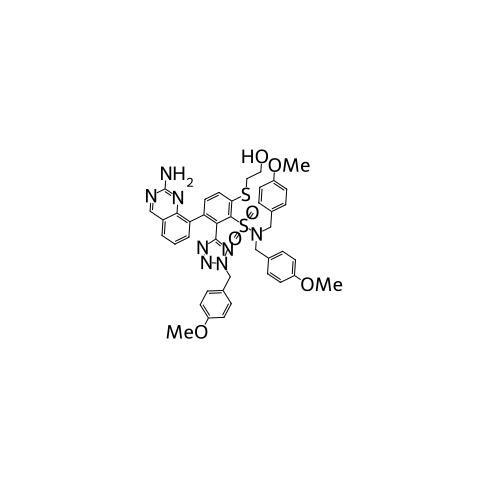 COc1ccc(CN(Cc2ccc(OC)cc2)S(=O)(=O)c2c(SCCO)ccc(-c3cccc4cnc(N)nc34)c2-c2nnn(Cc3ccc(OC)cc3)n2)cc1